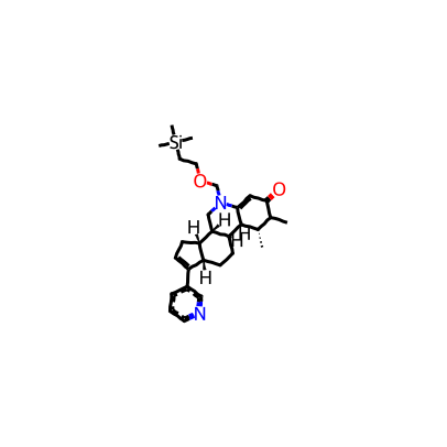 CC1C(=O)C=C2[C@@H]([C@H]3CC[C@@H]4C(c5cccnc5)=CC[C@@H]4[C@@H]3CN2COCC[Si](C)(C)C)[C@H]1C